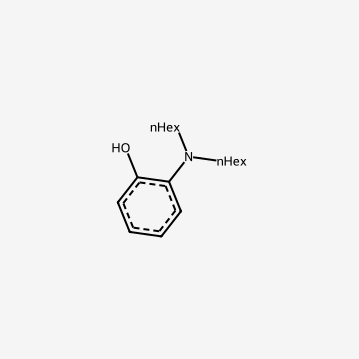 CCCCCCN(CCCCCC)c1ccccc1O